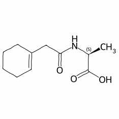 C[C@H](NC(=O)CC1=CCCCC1)C(=O)O